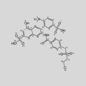 Nc1ccc(S(=O)(=O)O)cc1.O=C(Nc1ccc2c(O)cc(S(=O)(=O)O)cc2c1)c1ccc(CS(=O)(=O)CCCl)cc1